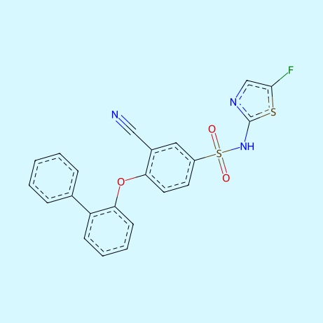 N#Cc1cc(S(=O)(=O)Nc2ncc(F)s2)ccc1Oc1ccccc1-c1ccccc1